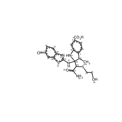 CN1c2ccc(C(=O)O)cc2NC1(Nc1nc2ccc(Cl)cc2s1)C(SCCO)C(N)=O